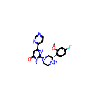 COc1cc(F)ccc1[C@H]1CN(c2nc(-c3ccncn3)cc(=O)n2C)CCN1